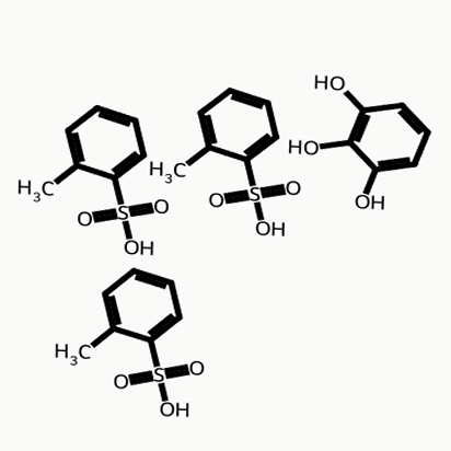 Cc1ccccc1S(=O)(=O)O.Cc1ccccc1S(=O)(=O)O.Cc1ccccc1S(=O)(=O)O.Oc1cccc(O)c1O